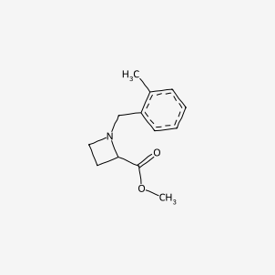 COC(=O)C1CCN1Cc1ccccc1C